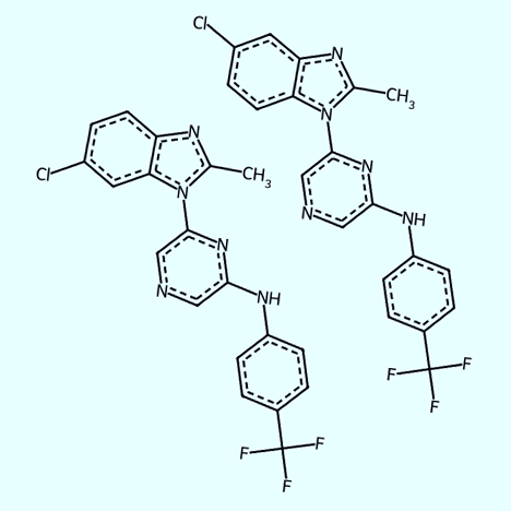 Cc1nc2cc(Cl)ccc2n1-c1cncc(Nc2ccc(C(F)(F)F)cc2)n1.Cc1nc2ccc(Cl)cc2n1-c1cncc(Nc2ccc(C(F)(F)F)cc2)n1